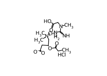 CCC(=O)OC(CC(=O)[O-])C[N+](C)(C)C.CN(CC(=O)O)C(=N)N.Cl